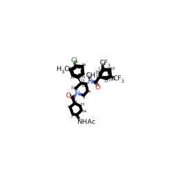 CC(=O)NC1CCC(C(=O)N2CC[C@@H](N(C)C(=O)c3cc(C(F)(F)F)cc(C(F)(F)F)c3)[C@H](c3ccc(Cl)c(C)c3)C2)CC1